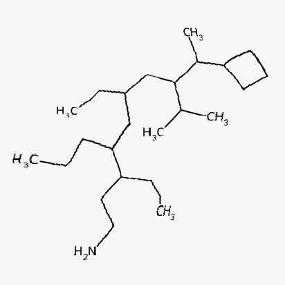 CCCC(CC(CC)CC(C(C)C)C(C)C1CCC1)C(CC)CCN